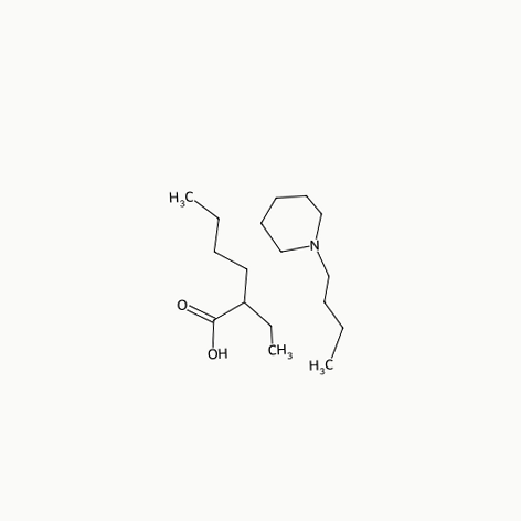 CCCCC(CC)C(=O)O.CCCCN1CCCCC1